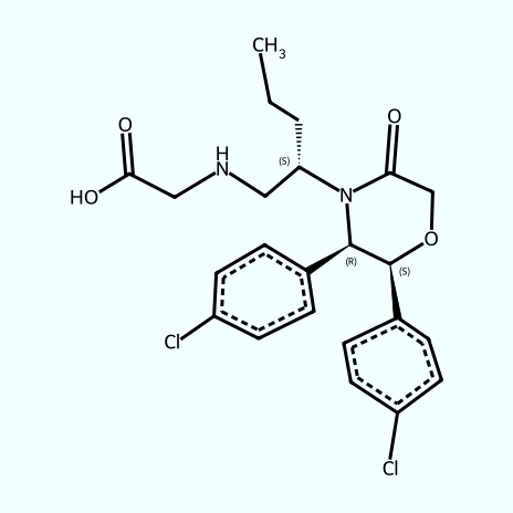 CCC[C@@H](CNCC(=O)O)N1C(=O)CO[C@@H](c2ccc(Cl)cc2)[C@H]1c1ccc(Cl)cc1